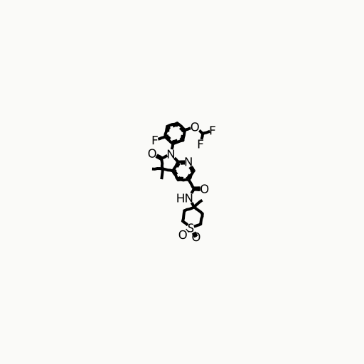 CC1(NC(=O)c2cnc3c(c2)C(C)(C)C(=O)N3c2cc(OC(F)F)ccc2F)CCS(=O)(=O)CC1